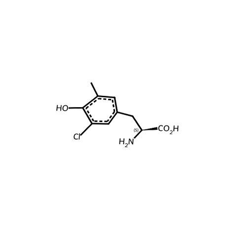 Cc1cc(C[C@H](N)C(=O)O)cc(Cl)c1O